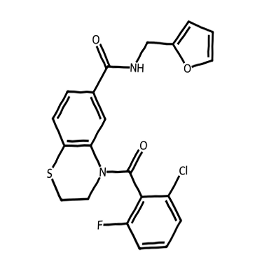 O=C(NCc1ccco1)c1ccc2c(c1)N(C(=O)c1c(F)cccc1Cl)CCS2